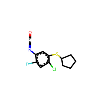 O=C=Nc1cc(SC2CCCC2)c(Cl)cc1F